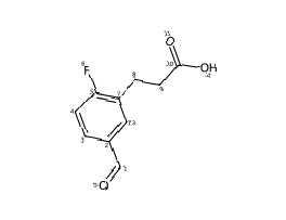 O=Cc1ccc(F)c(CCC(=O)O)c1